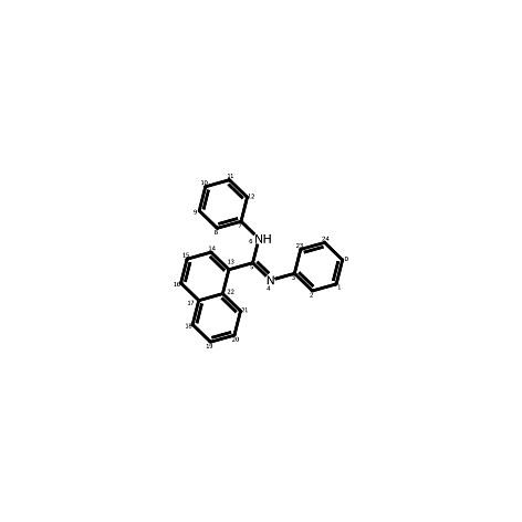 c1ccc(N=C(Nc2ccccc2)c2cccc3ccccc23)cc1